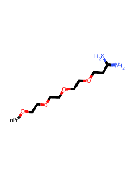 CCCOCCOCCOCCOCCC(N)N